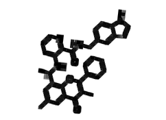 Cc1cc([C@@H](C)Nc2cccnc2C(=O)NCc2ccc3[nH]ccc3c2)c2oc(-c3ccccc3)c(C)c(=O)c2c1